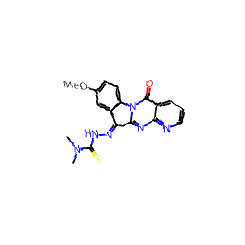 COc1ccc2c(c1)C(=NNC(=S)N(C)C)c1nc3ncccc3c(=O)n1-2